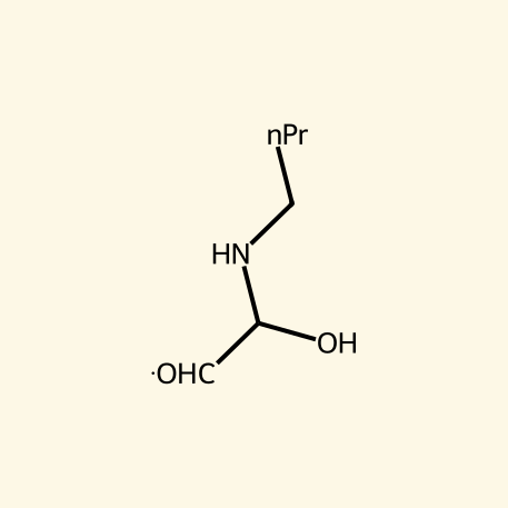 CCCCNC(O)[C]=O